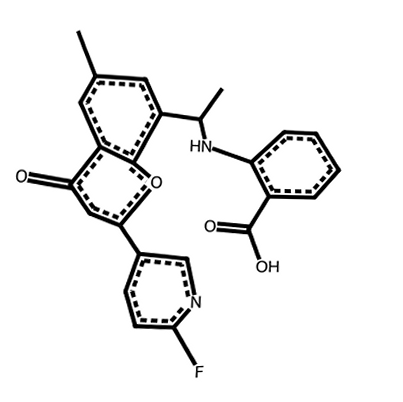 Cc1cc(C(C)Nc2ccccc2C(=O)O)c2oc(-c3ccc(F)nc3)cc(=O)c2c1